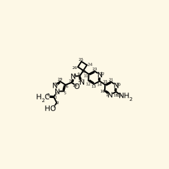 C=C(CO)n1cc(-c2nc(C3(c4ccc(-c5cnc(N)nc5)nc4)CCC3)no2)cn1